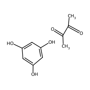 CC(=O)C(C)=O.Oc1cc(O)cc(O)c1